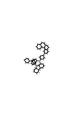 c1ccc(-c2ccc(N(c3ccc(-c4ccc5ccc6ccc7ccccc7c6c5c4)cc3)c3cccc4c5ccccc5n(-c5ccccc5)c34)cc2)cc1